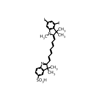 CN1\C(=C/C=C/C=C/C=C/C2=Nc3ccc(S(=O)(=O)O)cc3C2(C)C)C(C)(C)c2c(I)cc(I)cc21